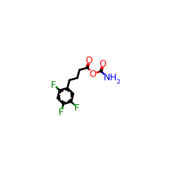 NC(=O)OC(=O)CCCc1cc(F)c(F)cc1F